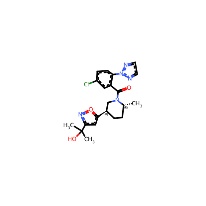 C[C@@H]1CC[C@@H](c2cc(C(C)(C)O)no2)CN1C(=O)c1cc(Cl)ccc1-n1nccn1